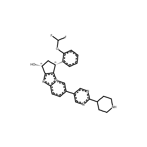 O[C@@H]1C[C@H](c2ccccc2OC(F)F)c2c1nc1ccc(-c3cnc(C4CCNCC4)nc3)cn21